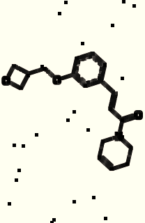 O=C(/C=C/c1cccc(OCC2COC2)c1)N1CC=CCC1